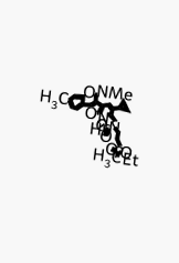 CCOP(C)(=O)CCCN(Cc1nc2oc(-c3ccc(C)cc3)c(C(=O)NC)c2cc1C1CC1)[SH](=O)=O